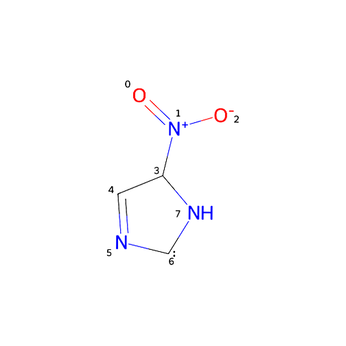 O=[N+]([O-])C1C=N[C]N1